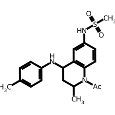 CC(=O)N1c2ccc(NS(C)(=O)=O)cc2C(Nc2ccc(C)cc2)CC1C